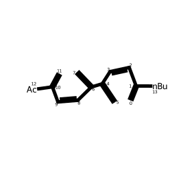 C=C(/C=C\C(=C)C(=C)/C=C\C(=C)C(C)=O)CCCC